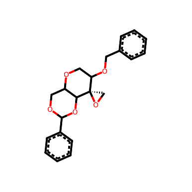 c1ccc(COC2COC3COC(c4ccccc4)OC3[C@@]23CO3)cc1